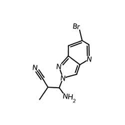 CC(C#N)C(N)n1cc2ncc(Br)cc2n1